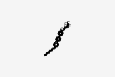 CCCCCCCCC1CCN(c2ccc(-c3ccc(OCCCC(F)(F)F)cc3)cc2)CC1